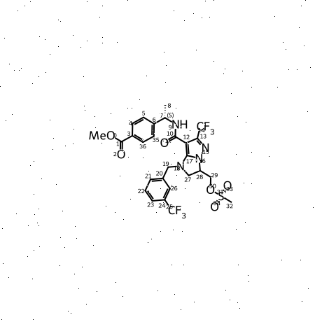 COC(=O)c1ccc([C@H](C)NC(=O)c2c(C(F)(F)F)nn3c2N(Cc2cccc(C(F)(F)F)c2)CC3COS(C)(=O)=O)cc1